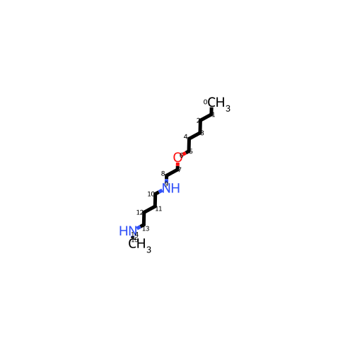 CCCCCCOCCNCCCCNC